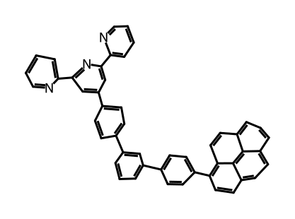 c1ccc(-c2cc(-c3ccc(-c4cccc(-c5ccc(-c6ccc7ccc8cccc9ccc6c7c89)cc5)c4)cc3)cc(-c3ccccn3)n2)nc1